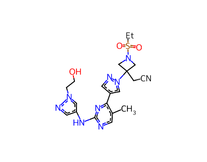 CCS(=O)(=O)N1CC(CC#N)(n2cc(-c3nc(Nc4cnn(CCO)c4)ncc3C)cn2)C1